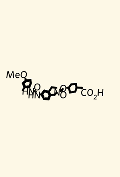 COc1ccc(NC(=O)Nc2ccc3c(c2)CCN(C(=O)OC2CCC(CC(=O)O)CC2)C3)c(C)c1